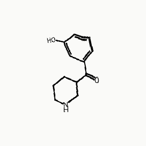 O=C(c1cccc(O)c1)C1CCCNC1